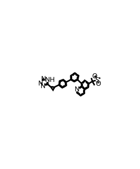 CC(C)(c1cc(-c2cccc(-c3ccc(C4CC4c4nnn[nH]4)cc3)c2)c2ncccc2c1)S(C)(=O)=O